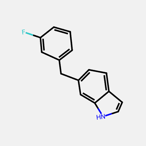 Fc1cccc(Cc2ccc3cc[nH]c3c2)c1